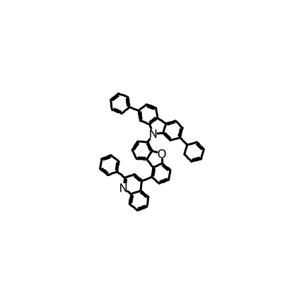 C1=CCC(c2ccc3c4ccc(-c5ccccc5)cc4n(-c4cccc5c4oc4cccc(-c6cc(-c7ccccc7)nc7ccccc67)c45)c3c2)C=C1